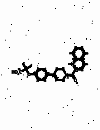 CC(C)(Oc1ccc(C2=CCN(C(=O)c3ccc4ccccc4n3)CC2)cc1)C(=O)O